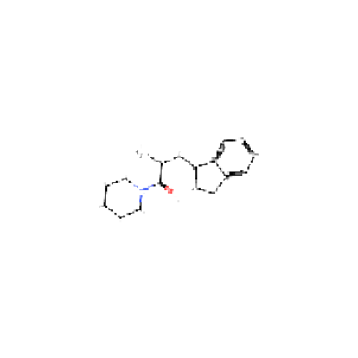 CC(CC1CCc2ccccc21)C(=O)N1CCCCC1